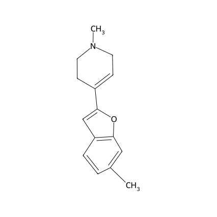 Cc1ccc2cc(C3=CCN(C)CC3)oc2c1